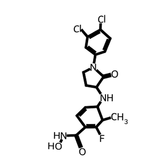 CC1C(F)=C(C(=O)NO)C=CC1NC1CCN(c2ccc(Cl)c(Cl)c2)C1=O